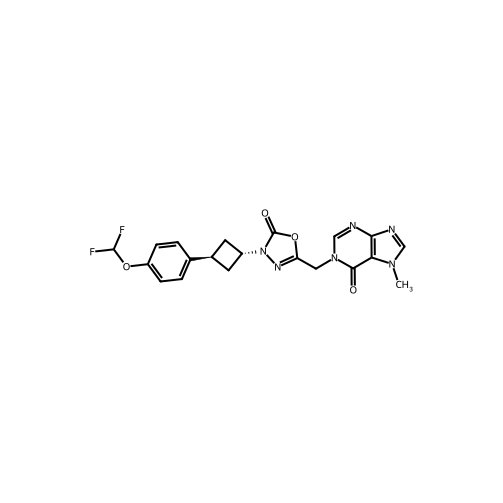 Cn1cnc2ncn(Cc3nn([C@H]4C[C@H](c5ccc(OC(F)F)cc5)C4)c(=O)o3)c(=O)c21